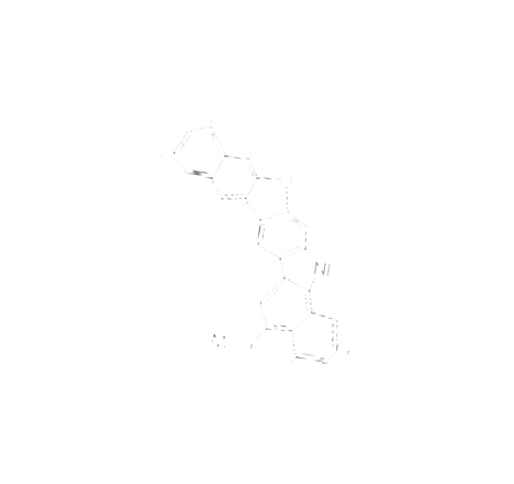 COc1cc2c3cc4c(cc3[nH]c2c2ccccc12)oc1cc2ccccc2cc14